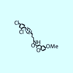 COc1ccc2c(c1)C=C(C(=O)NCCCCN1CCN(c3ccc(Cl)cc3Cl)CC1)CO2